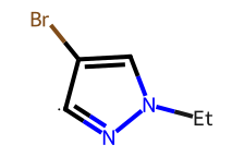 CCn1cc(Br)[c]n1